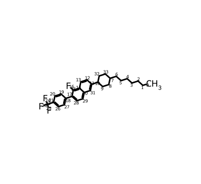 CCCCCCCC1CCC(c2ccc3c(F)c(-c4ccc(C(F)(F)F)cc4)ccc3c2)CC1